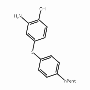 CCCCCc1ccc(Sc2ccc(O)c(N)c2)cc1